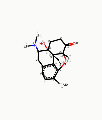 CCN(C)C1Cc2ccc(OC)c3c2[C@@]2(C)[C@@H](O3)C(=O)CC[C@@]12O